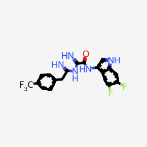 N=C(Cc1ccc(C(F)(F)F)cc1)NC(=N)C(=O)Nc1c[nH]c2cc(F)c(F)cc12